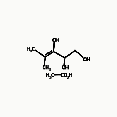 CC(=O)O.CC(C)=C(O)C(O)CO